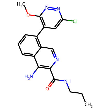 CCCNC(=O)c1ncc2c(-c3cc(Cl)nnc3OC)cccc2c1N